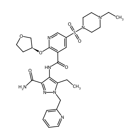 CCc1c(NC(=O)c2cc(S(=O)(=O)N3CCN(CC)CC3)cnc2O[C@H]2CCOC2)c(C(N)=O)nn1Cc1ccccn1